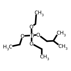 CC[O][Ti]([O]CC)([O]CC)[O]CC(C)C